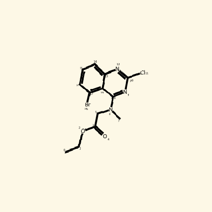 CCOC(=O)CN(C)c1nc(Cl)nc2cccc(Br)c12